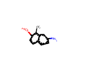 Nc1ccc2ccc(O)c(C(F)(F)F)c2c1